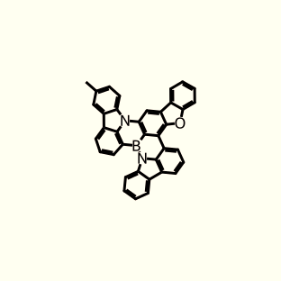 Cc1ccc2c(c1)c1cccc3c1n2-c1cc2c(oc4ccccc42)c2c1B3n1c3ccccc3c3cccc-2c31